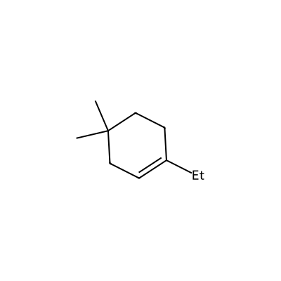 CCC1=CCC(C)(C)CC1